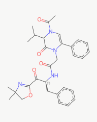 CC(=O)N1C=C(c2ccccc2)N(CC(=O)N[C@@H](Cc2ccccc2)C(=O)C2=NC(C)(C)CO2)C(=O)C1C(C)C